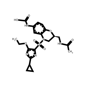 CCOc1sc(C2CC2)nc1S(=O)(=O)N1C[C@H](CNC(C)=O)Oc2ccc(NC(=O)O)cc21